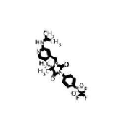 CC(C)Nc1cc(CN2C(=O)N(c3ccc(S(=O)(=O)C(F)(F)F)cc3)C(=O)C2(C)C)ccn1